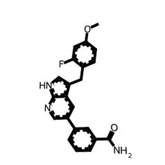 COc1ccc(Cc2c[nH]c3ncc(-c4cccc(C(N)=O)c4)cc23)c(F)c1